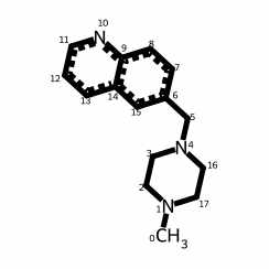 CN1CCN(Cc2ccc3ncccc3c2)CC1